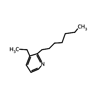 CCCCCCCc1ncccc1CC